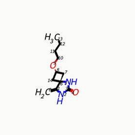 C=C1NC(=O)N[C@]12C[C@@H](OCCCC)C2